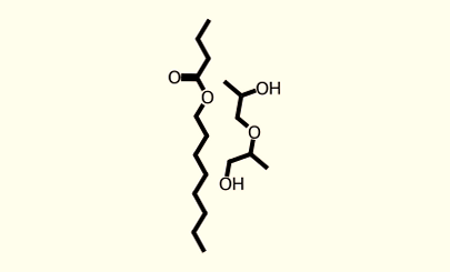 CC(O)COC(C)CO.CCCCCCCCOC(=O)CCC